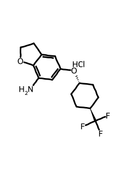 Cl.Nc1cc(O[C@H]2CC[C@H](C(F)(F)F)CC2)cc2c1OCC2